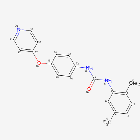 COc1ccc(C(F)(F)F)cc1NC(=O)Nc1ccc(Oc2ccncc2)cc1